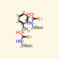 CCCCCCCCCNC(O)=S.CCCCCCCCCNC(O)=S.Cc1ccccc1